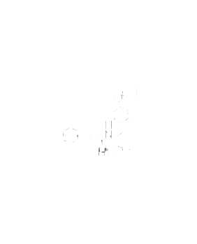 COc1ccc(/C=C(\NC(=O)OCc2ccccc2)C(=O)O)cc1